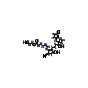 N#C[C@@H]1C[C@@H](O)[C@H](/C=C/CC(O)C2(Cc3ccc(Cl)s3)CCC2)[C@H]1C/C=C\CCCC(=O)OCCO